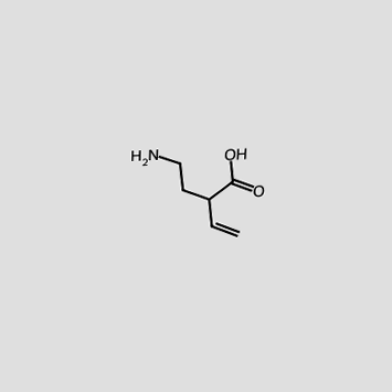 C=CC(CCN)C(=O)O